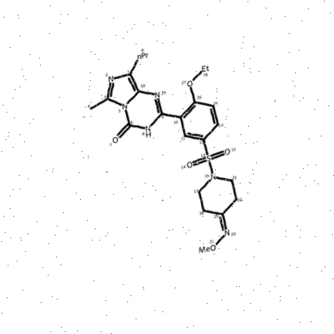 CCCc1nc(C)n2c(=O)[nH]c(-c3cc(S(=O)(=O)N4CCC(=NOC)CC4)ccc3OCC)nc12